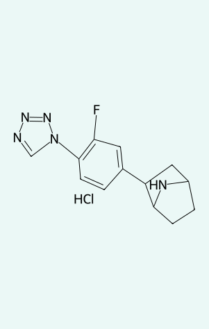 Cl.Fc1cc(C2CC3CCC2N3)ccc1-n1cnnn1